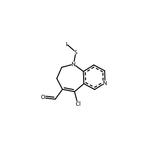 O=CC1=C(Cl)c2cnccc2N(SI)CC1